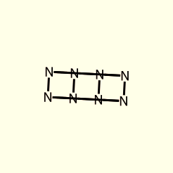 N12N3N4N1N1N2N3N41